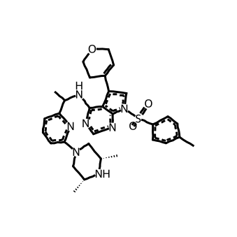 Cc1ccc(S(=O)(=O)n2cc(C3=CCOCC3)c3c(NC(C)c4cccc(N5C[C@@H](C)N[C@@H](C)C5)n4)ncnc32)cc1